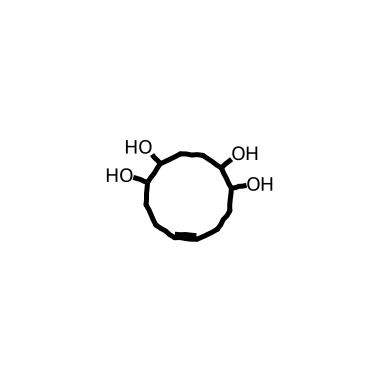 OC1CCC=CCCC(O)C(O)CCC1O